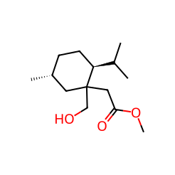 COC(=O)CC1(CO)C[C@H](C)CC[C@H]1C(C)C